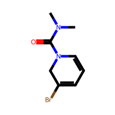 CN(C)C(=O)N1C=CC=C(Br)C1